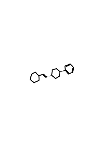 C(=C[C@H]1CC[C@H](c2ccccc2)CC1)C1CCCCC1